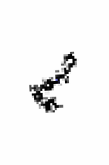 Cc1ccc(CN2CC[C@@H](Nc3ccc(/C=C/C(=O)NOC4CCCCO4)cn3)C2)cc1